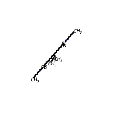 CCCCCC/C=C/COC(=O)CCCCCCCC(CCCCCCCC(=O)OC/C=C/CCCCCC)CN(C)CCNC